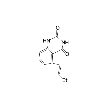 CCC=Cc1cccc2[nH]c(=O)[nH]c(=O)c12